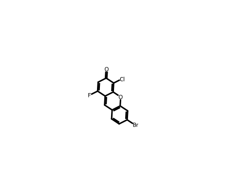 O=c1cc(F)c2cc3ccc(Br)cc3oc-2c1Cl